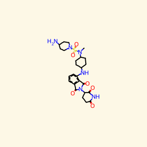 CN(C1CCC(Nc2cccc3c2C(=O)N(C2CCC(=O)NC2=O)C3=O)CC1)S(=O)(=O)N1CCC(N)CC1